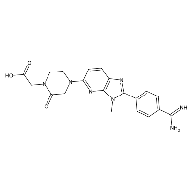 Cn1c(-c2ccc(C(=N)N)cc2)nc2ccc(N3CCN(CC(=O)O)C(=O)C3)nc21